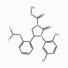 CC(C)(C)OC(=O)N1CC(c2ccccc2OC(F)F)N(c2cc(Br)ccc2[N+](=O)[O-])C1=O